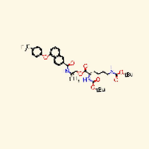 C[C@H](COC(=O)[C@H](CCCCNC(=O)OC(C)(C)C)NC(=O)OC(C)(C)C)NC(=O)c1ccc2c(Oc3ccc(C(F)(F)F)cc3)cccc2c1